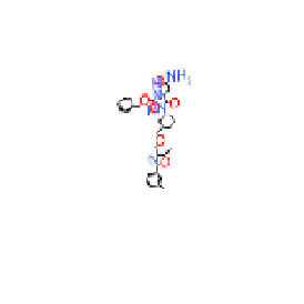 Cc1cccc(-c2nc(COCC3CCCC(NC(=O)C(CC(N)=O)NC(=O)OCc4ccccc4)C3)c(C)o2)c1